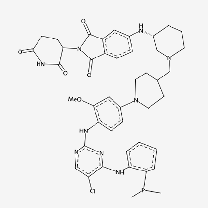 COc1cc(N2CCC(CN3CCC[C@@H](Nc4ccc5c(c4)C(=O)N(C4CCC(=O)NC4=O)C5=O)C3)CC2)ccc1Nc1ncc(Cl)c(Nc2ccccc2P(C)C)n1